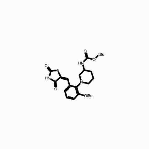 CC(C)COc1cccc(C=C2SC(=O)NC2=O)c1N1CCCC(NC(=O)OC(C)(C)C)C1